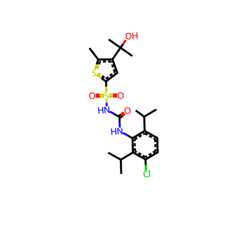 Cc1sc(S(=O)(=O)NC(=O)Nc2c(C(C)C)ccc(Cl)c2C(C)C)cc1C(C)(C)O